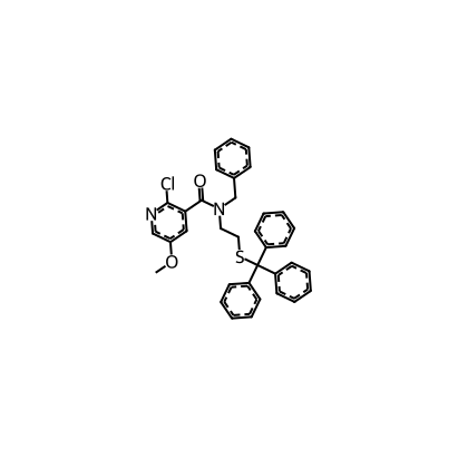 COc1cnc(Cl)c(C(=O)N(CCSC(c2ccccc2)(c2ccccc2)c2ccccc2)Cc2ccccc2)c1